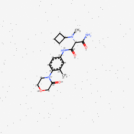 CN(C1CCC1)[C@H](C(N)=O)C(=O)Nc1ccc(N2CCOCC2=O)c(C(F)(F)F)c1